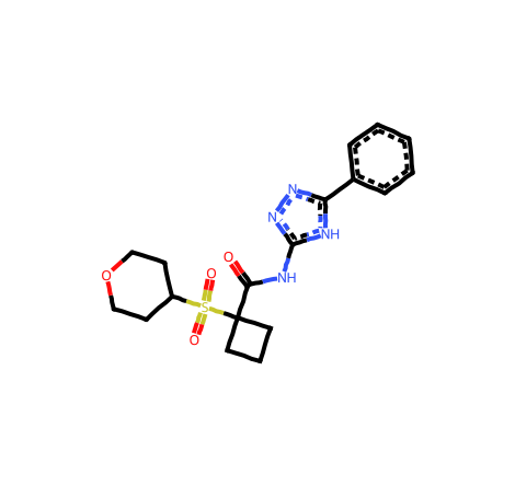 O=C(Nc1nnc(-c2ccccc2)[nH]1)C1(S(=O)(=O)C2CCOCC2)CCC1